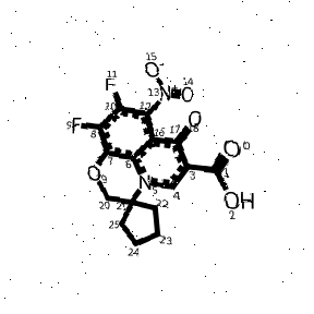 O=C(O)c1cn2c3c(c(F)c(F)c([N+](=O)[O-])c3c1=O)OCC21CCCC1